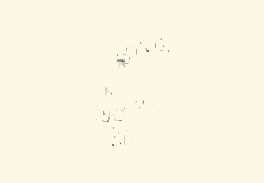 COc1ccc2c(c1C1CCN(C[C@H]3CC[C@H](n4cc5cc(NC(=O)c6cncc(Cl)c6)ccc5n4)CC3)CC1)n(C)c(=O)n2C1CCC(=O)NC1=O